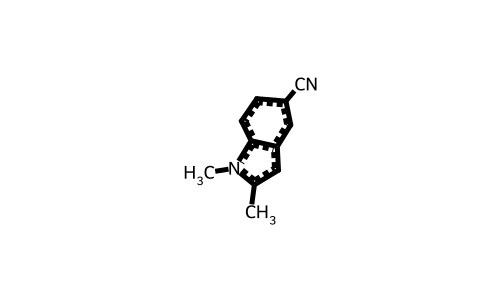 Cc1cc2cc(C#N)ccc2n1C